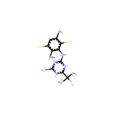 COc1c(F)cc(C)c(F)c1Nc1nc(N)nc(C(C)(C)F)n1